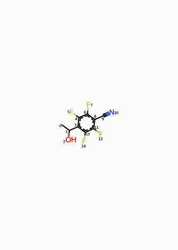 CC(O)c1c(F)c(F)c(C#N)c(F)c1F